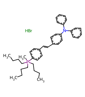 Br.CCCCP(C)(CCCC)(CCCC)c1ccc(C=Cc2ccc(N(c3ccccc3)c3ccccc3)cc2)cc1